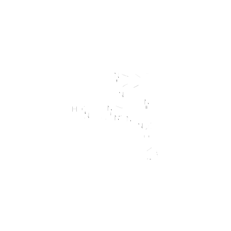 CN1CCCC1COc1nc2c(c(N3CCN(C(=O)OCc4ccccc4)C(CC#N)C3)n1)CCN(c1cncc3cc(F)ccc13)C2